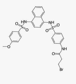 COc1ccc(S(=O)(=O)Nc2ccc(NS(=O)(=O)c3ccc(NC(=O)CCBr)cc3)c3ccccc23)cc1